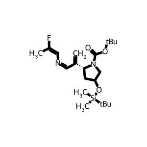 C=C(/C=N\C=C(/C)F)[C@H]1CC(O[Si](C)(C)C(C)(C)C)CN1C(=O)OC(C)(C)C